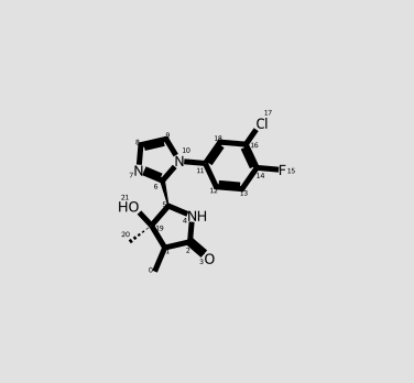 CC1C(=O)N[C@H](c2nccn2-c2ccc(F)c(Cl)c2)[C@]1(C)O